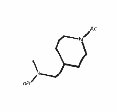 CCCN(C)CC1CCN(C(C)=O)CC1